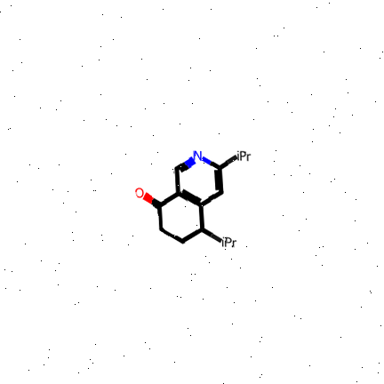 CC(C)c1cc2c(cn1)C(=O)CCC2C(C)C